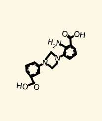 Nc1c(C(=O)O)cccc1N1CCN(c2cccc(C(=O)O)c2)CC1